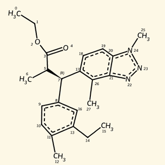 CCOC(=O)C(C)[C@H](c1ccc(C)c(CC)c1)c1ccc2c(nnn2C)c1C